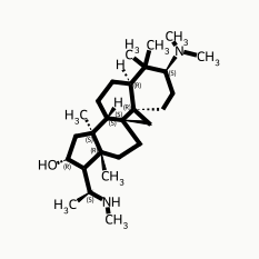 CN[C@@H](C)C1[C@H](O)C[C@@]2(C)[C@@H]3CC[C@H]4C(C)(C)[C@@H](N(C)C)CC[C@@]45C[C@@]35CC[C@]12C